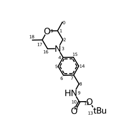 CC1CN(c2ccc(CNC(=O)OC(C)(C)C)cc2)CC(C)O1